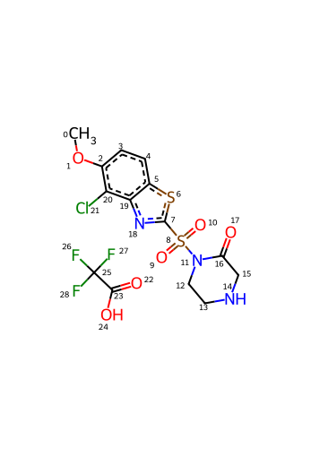 COc1ccc2sc(S(=O)(=O)N3CCNCC3=O)nc2c1Cl.O=C(O)C(F)(F)F